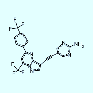 Nc1ncc(C#Cc2cnn3c(C(F)(F)F)cc(-c4ccc(C(F)(F)F)cc4)nc23)cn1